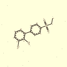 CCS(=O)(=O)c1ccc(-c2cccc(Cl)c2Cl)cc1